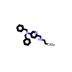 COCCNCc1ccc(N(Cc2ccccc2)Cc2ccccc2)cn1